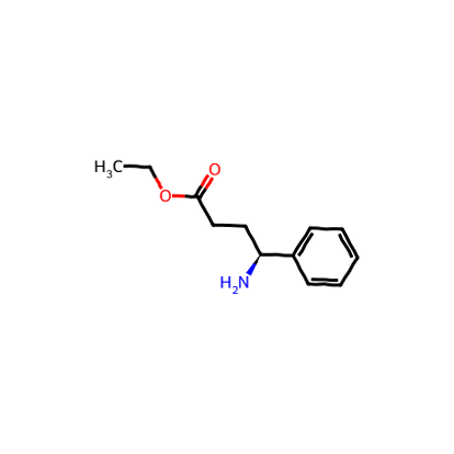 CCOC(=O)CC[C@H](N)c1ccccc1